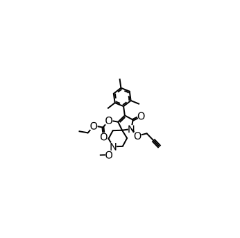 C#CCON1C(=O)C(c2c(C)cc(C)cc2C)=C(OC(=O)OCC)C12CCN(OC)CC2